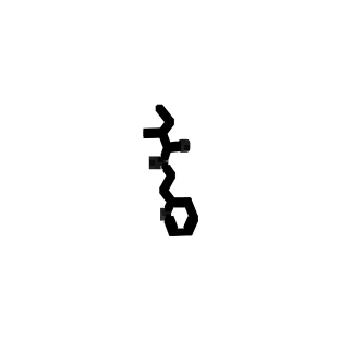 C=C(CC)C(=O)NCCc1ccccn1